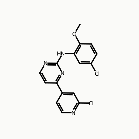 COc1ccc(Cl)cc1Nc1nccc(-c2ccnc(Cl)c2)n1